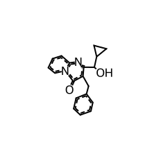 O=c1c(Cc2ccccc2)c(C(O)C2CC2)nc2ccccn12